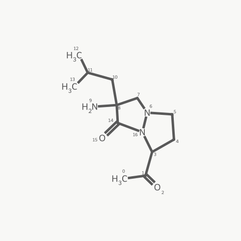 CC(=O)C1CCN2CC(N)(CC(C)C)C(=O)N12